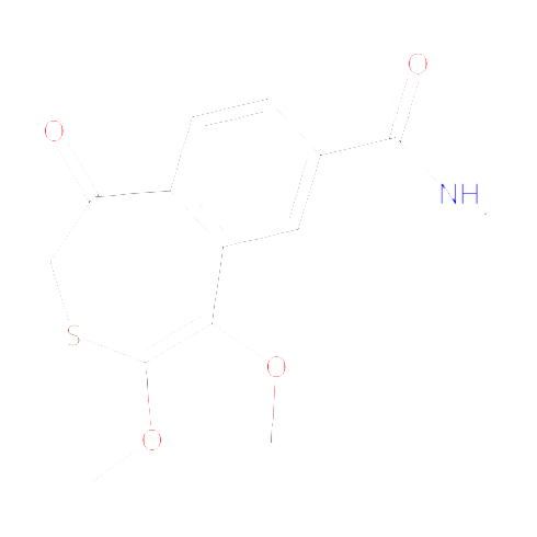 COC1=C(OC)c2cc(C(N)=O)ccc2C(=O)CS1